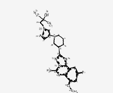 COc1cc(F)cc2c1nc(N)n1nc([C@@H]3CCCN(c4cnn(CC(C)(C)O)c4)C3)nc21